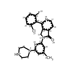 Cc1cc(N2CCNCC2)nc(N2Cc3c(ccnc3-c3c(F)cccc3Cl)C2=O)c1